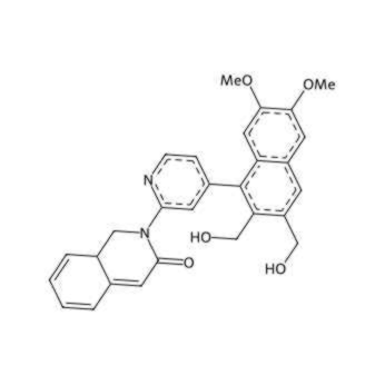 COc1cc2cc(CO)c(CO)c(-c3ccnc(N4CC5C=CC=CC5=CC4=O)c3)c2cc1OC